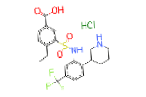 CCc1ccc(C(=O)O)cc1S(=O)(=O)Nc1cc(C(F)(F)F)ccc1C1CCCNC1.Cl